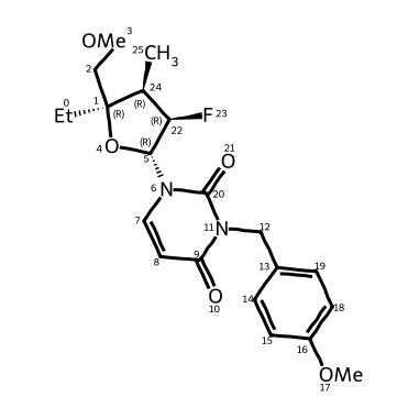 CC[C@@]1(COC)O[C@@H](n2ccc(=O)n(Cc3ccc(OC)cc3)c2=O)[C@H](F)[C@@H]1C